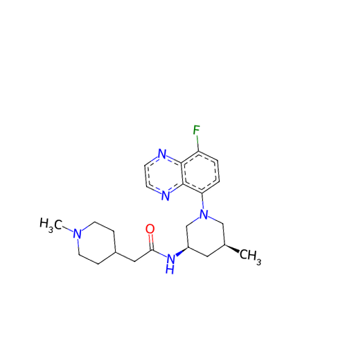 C[C@H]1C[C@@H](NC(=O)CC2CCN(C)CC2)CN(c2ccc(F)c3nccnc23)C1